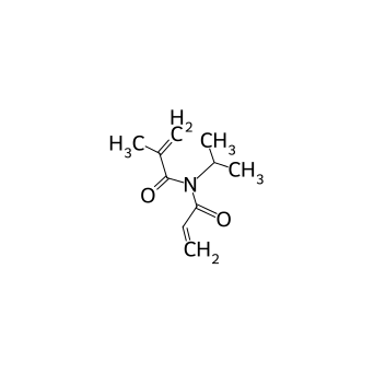 C=CC(=O)N(C(=O)C(=C)C)C(C)C